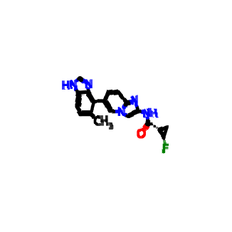 Cc1ccc2[nH]cnc2c1-c1ccc2nc(NC(=O)[C@@H]3C[C@@H]3F)cn2c1